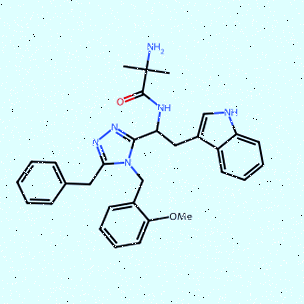 COc1ccccc1Cn1c(Cc2ccccc2)nnc1C(Cc1c[nH]c2ccccc12)NC(=O)C(C)(C)N